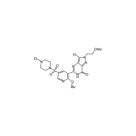 CCc1c2nc(-c3cc(S(=O)(=O)N4CCN(CC)CC4)cnc3OC(C)CC)[nH]c(=O)c2nn1CCOC